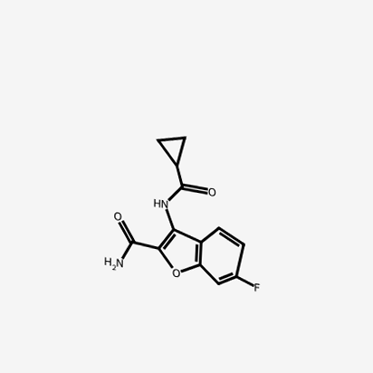 NC(=O)c1oc2cc(F)ccc2c1NC(=O)C1CC1